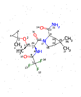 C[C@@H](OC1(C)CC1)[C@H](NC(=O)C(F)(F)F)C(=O)N1CC2C(C1C(N)=O)C2(C)C